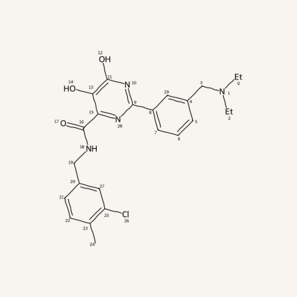 CCN(CC)Cc1cccc(-c2nc(O)c(O)c(C(=O)NCc3ccc(C)c(Cl)c3)n2)c1